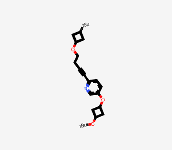 CC(C)(C)OC1CC(Oc2ccc(C#CCCOC3CC(C(C)(C)C)C3)nc2)C1